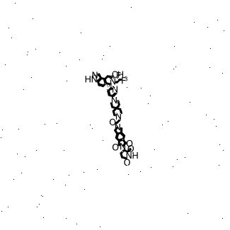 C[C@@H]1Cc2c(ccc3[nH]ncc23)[C@@H](c2ccc(N3CCC4(CCN(CC(=O)N5Cc6cc7c(cc6C5)C(=O)N(C5CCC(=O)NC5=O)C7=O)CC4)CC3)cn2)N1CC(F)F